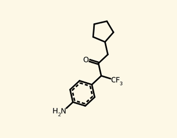 Nc1ccc(C(C(=O)CC2CCCC2)C(F)(F)F)cc1